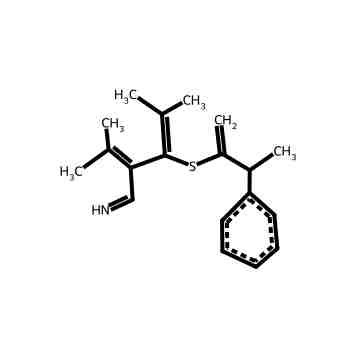 C=C(SC(=C(C)C)C(C=N)=C(C)C)C(C)c1ccccc1